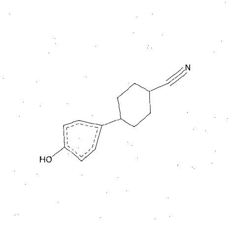 N#CC1CCC(c2ccc(O)cc2)CC1